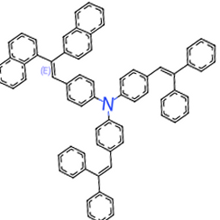 C(=C(c1ccccc1)c1ccccc1)c1ccc(N(c2ccc(C=C(c3ccccc3)c3ccccc3)cc2)c2ccc(/C=C(\c3ccc4ccccc4c3)c3cccc4ccccc34)cc2)cc1